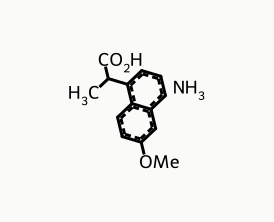 COc1ccc2c(C(C)C(=O)O)cccc2c1.N